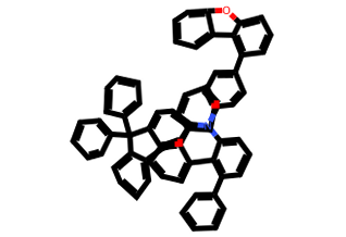 c1ccc(-c2ccccc2-c2c(-c3ccccc3)cccc2N(c2ccc(-c3cccc4oc5ccccc5c34)cc2)c2ccc3c(c2)-c2ccccc2C3(c2ccccc2)c2ccccc2)cc1